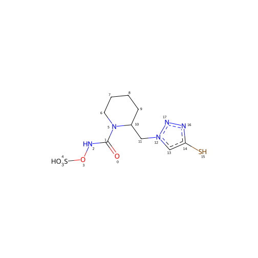 O=C(NOS(=O)(=O)O)N1CCCCC1Cn1cc(S)nn1